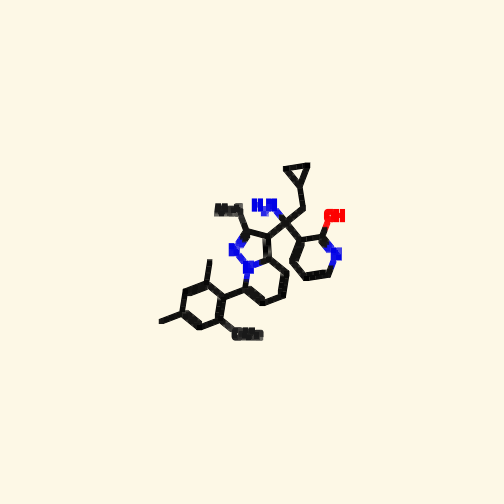 COc1cc(C)cc(C)c1-c1cccc2c(C(N)(CC3CC3)c3cccnc3O)c(SC)nn12